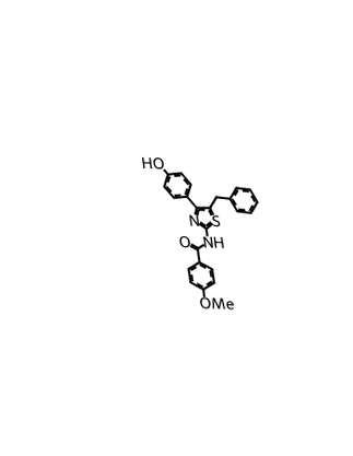 COc1ccc(C(=O)Nc2nc(-c3ccc(O)cc3)c(Cc3ccccc3)s2)cc1